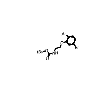 CC(=O)c1ccc(Br)cc1OCCNC(=O)OC(C)(C)C